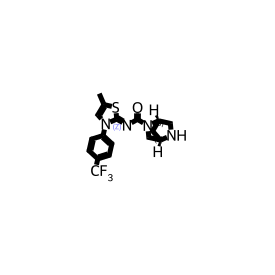 Cc1cn(-c2ccc(C(F)(F)F)cc2)/c(=N/C(=O)N2C[C@@H]3C[C@H]2CN3)s1